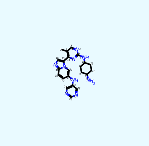 Cc1cnc(NC2CCC(N)CC2)nc1-c1cnc2ccc(Nc3cncnc3)cn12